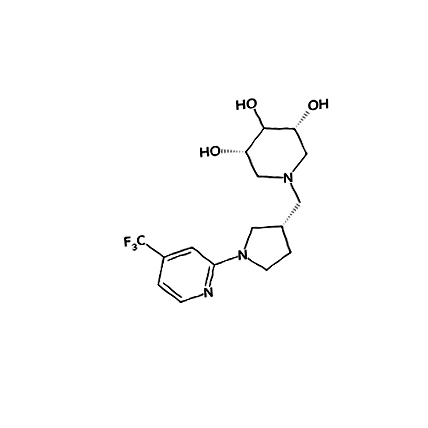 OC1[C@H](O)CN(C[C@@H]2CCN(c3cc(C(F)(F)F)ccn3)C2)C[C@@H]1O